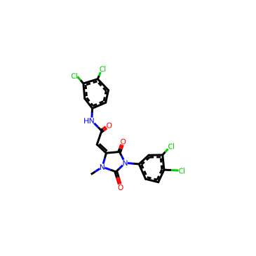 CN1C(=O)N(c2ccc(Cl)c(Cl)c2)C(=O)C1=CC(=O)Nc1ccc(Cl)c(Cl)c1